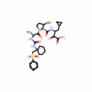 CC(C)(C)C1CCN(C(=O)[C@@H](NC(=O)NC2(CS(=O)(=O)c3ccccc3)CCCCC2)C(C)(C)C)[C@@H]1C(=O)NC(CC1CC1)C(=O)C(N)=O